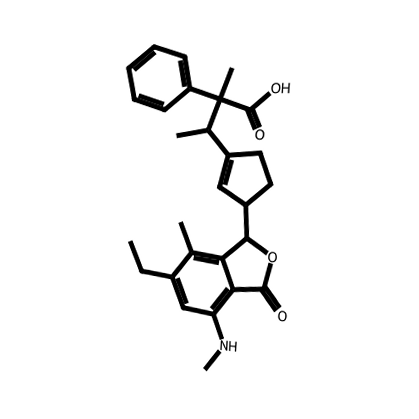 CCc1cc(NC)c2c(c1C)C(C1C=C(C(C)C(C)(C(=O)O)c3ccccc3)CC1)OC2=O